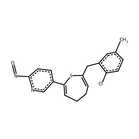 Cc1ccc(Cl)c(CC2=CCCC=C(c3ccc(N=O)nc3)S2)c1